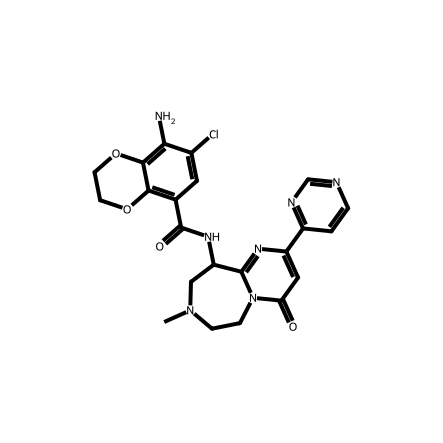 CN1CCn2c(nc(-c3ccncn3)cc2=O)C(NC(=O)c2cc(Cl)c(N)c3c2OCCO3)C1